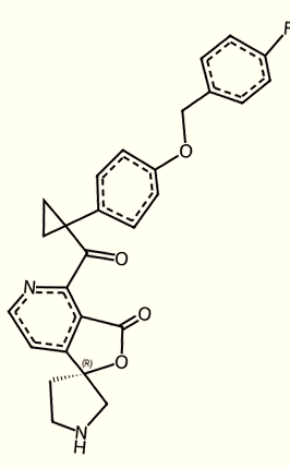 O=C1O[C@]2(CCNC2)c2ccnc(C(=O)C3(c4ccc(OCc5ccc(F)cc5)cc4)CC3)c21